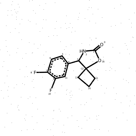 O=C1NC(c2ccc(F)c(F)c2)C2(CCC2)O1